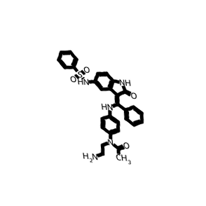 CC(=O)N(CCN)c1ccc(NC(=C2C(=O)Nc3ccc(NS(=O)(=O)c4ccccc4)cc32)c2ccccc2)cc1